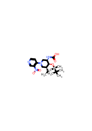 CC[C@H]1CN(c2ccncc2[N+](=O)[O-])C[C@@H](NC(=O)O)[C@H]1O[Si](C)(C)C(C)(C)C